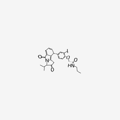 CCCNC(=O)COc1ccc(C2C=CC=C3C(=O)N4C(=C32)CC(=O)C4C(C)C)cc1I